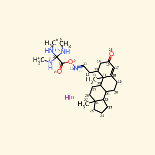 CNC(NC)(NC)C(=O)O/N=C/CC1CC(=O)C=C2CCC3C4CCCC4(C)CCC3C21C.I